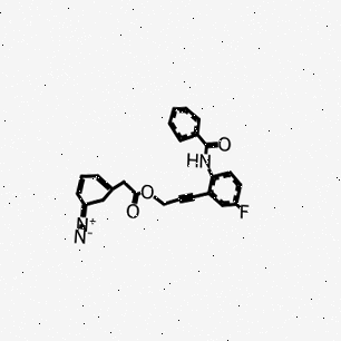 [N-]=[N+]=C1C=CC=C(CC(=O)OCC#Cc2cc(F)ccc2NC(=O)c2ccccc2)C1